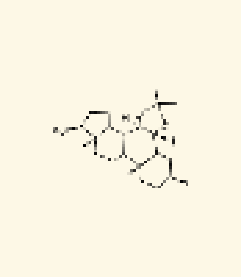 CC(=O)[C@H]1CCC2C3C(CC[C@@]21C)[C@@]1(C)CC[C@H](C)CC1[C@H]1OC(C)(C)O[C@H]31